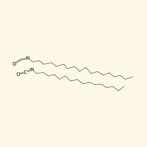 CCCCCCCCCCCCCCCCCCN=C=O.CCCCCCCCCCCCCCCCN=C=O